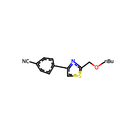 CCCCOCc1nc(-c2ccc(C#N)cc2)cs1